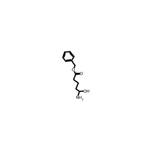 NC(O)CCCC(=O)OCc1ccccc1